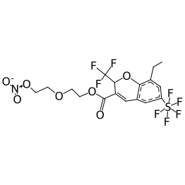 CCc1cc(S(F)(F)(F)(F)F)cc2c1OC(C(F)(F)F)C(C(=O)OCCOCCO[N+](=O)[O-])=C2